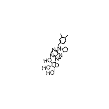 Cc1ccc(CN(c2ncnc3c2ncn3[C@@H]2O[C@H](CO)[C@@H](O)[C@H]2O)C2CCCC2)cc1C